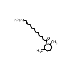 CCCCCC=CCCCCCCCCC(=O)N1CC(C)CCCC1C